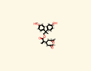 C=C(C(=O)OCC(C)(c1ccc(O)cc1)c1ccc(O)cc1)C(CC1CO1)CC1CO1